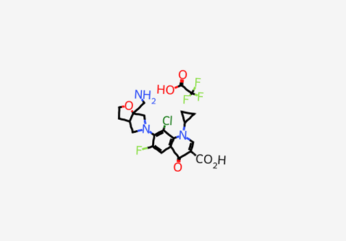 NCC12CN(c3c(F)cc4c(=O)c(C(=O)O)cn(C5CC5)c4c3Cl)CC1CCO2.O=C(O)C(F)(F)F